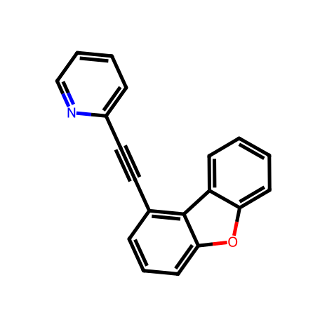 C(#Cc1cccc2oc3ccccc3c12)c1ccccn1